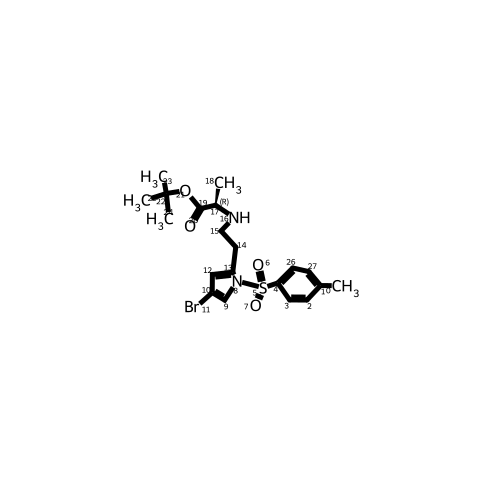 Cc1ccc(S(=O)(=O)n2cc(Br)cc2CCN[C@H](C)C(=O)OC(C)(C)C)cc1